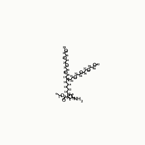 CCOC(=O)c1cc(N)cn1CCCCCN(CCOCCOCCOCCOC)CCOCCOCCOCCOC